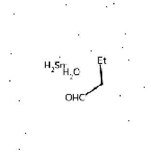 CCCC=O.O.[SnH2]